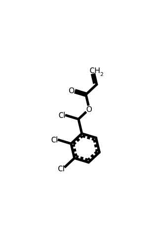 C=CC(=O)OC(Cl)c1cccc(Cl)c1Cl